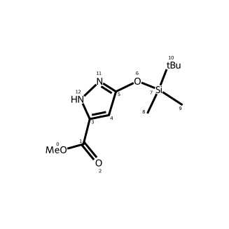 COC(=O)c1cc(O[Si](C)(C)C(C)(C)C)n[nH]1